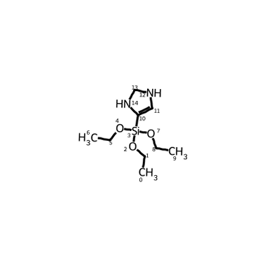 CCO[Si](OCC)(OCC)C1=CNCN1